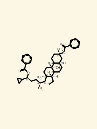 C[C@H](CC[C@H](OC(=O)c1ccccc1)C1CC1)[C@H]1CC[C@H]2[C@@H]3CC[C@H]4C[C@@](C)(OC(=O)c5ccccc5)CC[C@]4(C)[C@H]3CC[C@]12C